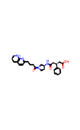 O=C(O)C[C@H](CC(=O)N[C@H]1CCN(C(=O)CCCc2ccc3c(n2)NCCC3)C1)c1ccccc1